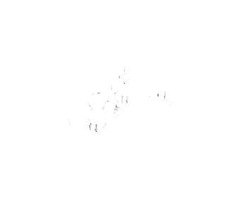 CC1CCN(S(=O)(=O)c2cccc3c(Cl)nccc23)C(N)C1